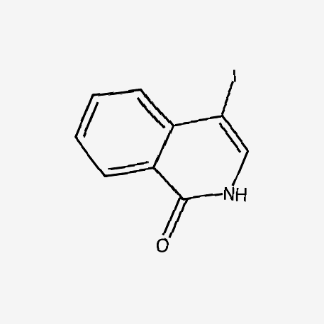 O=c1[nH]cc(I)c2ccccc12